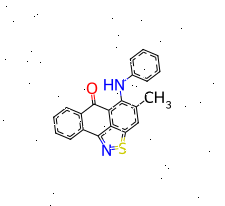 Cc1cc2snc3c2c(c1Nc1ccccc1)C(=O)c1ccccc1-3